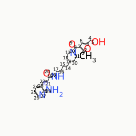 Cc1oc(CO)cc1C(=O)N1CCC(CCCCNC(=O)/C=C/c2cccnc2N)CC1